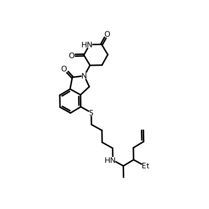 C=CCC(CC)C(C)NCCCCSc1cccc2c1CN(C1CCC(=O)NC1=O)C2=O